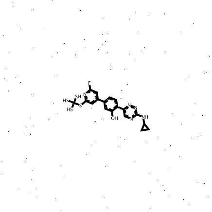 Oc1cc(-c2cc(F)nc(SC(S)(S)S)c2)ccc1-c1cnc(NC2CC2)nn1